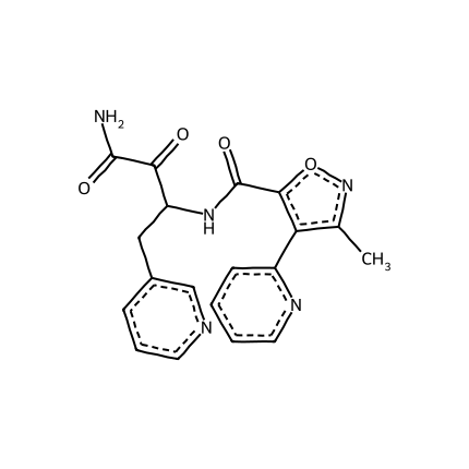 Cc1noc(C(=O)NC(Cc2cccnc2)C(=O)C(N)=O)c1-c1ccccn1